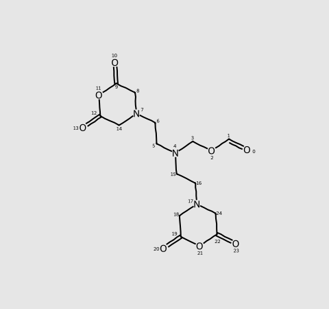 O=COCN(CCN1CC(=O)OC(=O)C1)CCN1CC(=O)OC(=O)C1